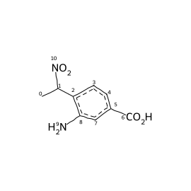 CC(c1ccc(C(=O)O)cc1N)[N+](=O)[O-]